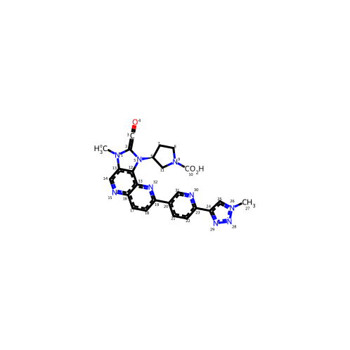 CN1C(=C=O)N([C@H]2CCN(C(=O)O)C2)c2c1cnc1ccc(-c3ccc(-c4cn(C)nn4)nc3)nc21